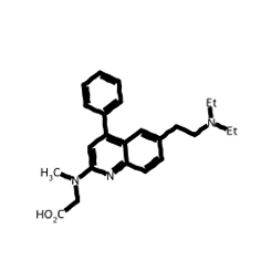 CCN(CC)CCc1ccc2nc(N(C)CC(=O)O)cc(-c3ccccc3)c2c1